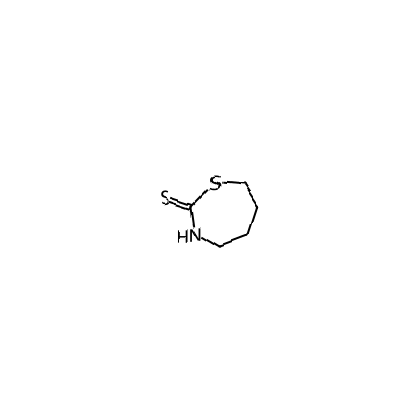 S=C1NCCCCS1